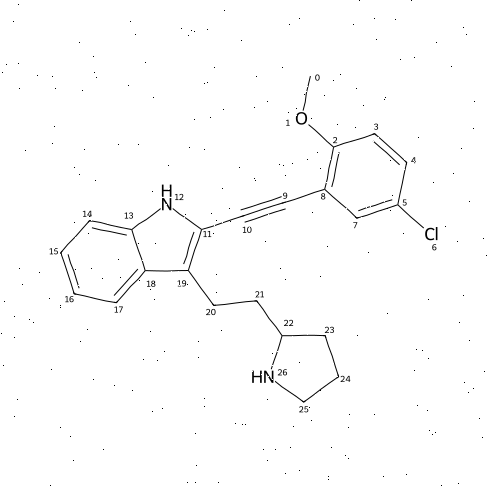 COc1ccc(Cl)cc1C#Cc1[nH]c2ccccc2c1CCC1CCCN1